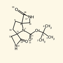 CC(C)(C)OC(=O)N1C2(CCC13CNC3=O)CNC2=O